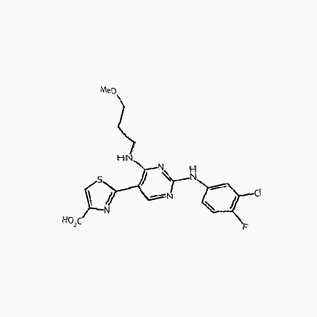 COCCCNc1nc(Nc2ccc(F)c(Cl)c2)ncc1-c1nc(C(=O)O)cs1